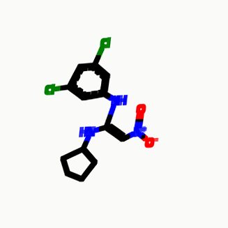 O=[N+]([O-])C=C(Nc1cc(Cl)cc(Cl)c1)NC1CCCC1